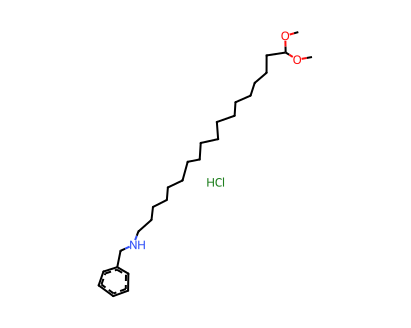 COC(CCCCCCCCCCCCCCCCCNCc1ccccc1)OC.Cl